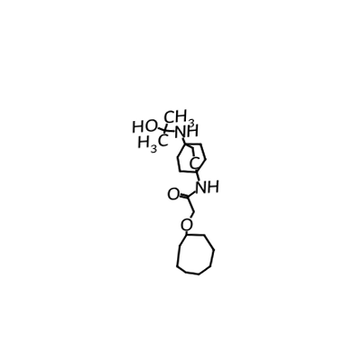 CC(C)(O)NC12CCC(NC(=O)COC3CCCCCCC3)(CC1)CC2